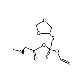 C=COP(=S)(OC(=O)CNC)SC1COCO1